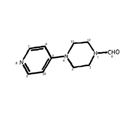 O=CN1CCN(c2ccncc2)CC1